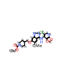 COc1cc2c(Nc3c(Cl)cnc4c3OCO4)ncnc2cc1OCC1CCN(C(=O)OC(C)(C)C)CC1